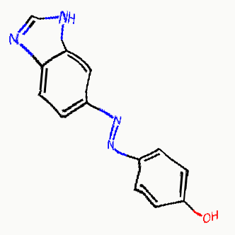 Oc1ccc(N=Nc2ccc3nc[nH]c3c2)cc1